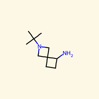 CC(C)(C)N1CC2(CCC2N)C1